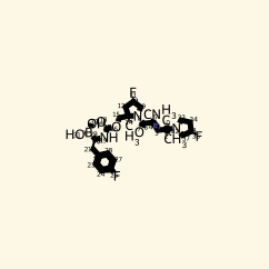 CC(C)(/C=C(\C#N)C(=O)N1C[C@@H](F)C[C@]1(C)COC(=O)N[C@@H](Cc1ccc(F)cc1)B(O)O)N1CC[C@@H](F)C1